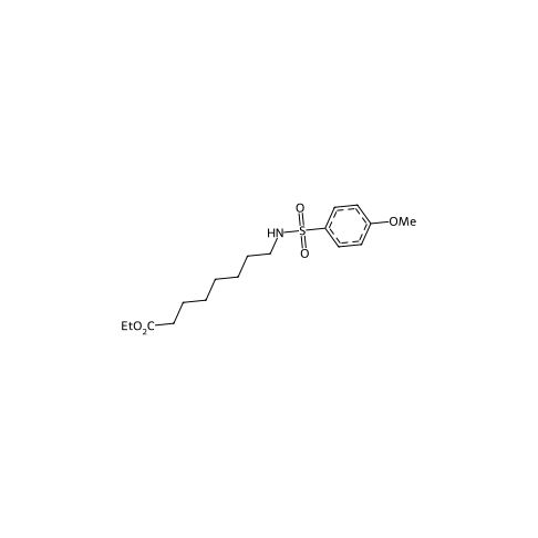 CCOC(=O)CCCCCCCNS(=O)(=O)c1ccc(OC)cc1